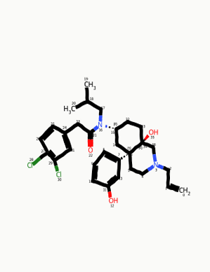 C=CCN1CC[C@@]2(c3cccc(O)c3)C[C@H](N(CC(C)C)C(=O)Cc3ccc(Cl)c(Cl)c3)CC[C@]2(O)C1